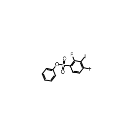 O=S(=O)(Oc1ccccc1)c1ccc(F)c(I)c1F